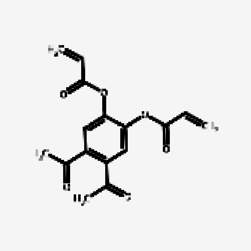 C=CC(=O)Oc1cc(C(C)=O)c(C(C)=O)cc1OC(=O)C=C